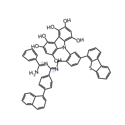 N/C(=N\C(=N/Cc1ccc(-c2cccc3c2sc2ccccc23)cc1-n1c2c(O)cc(O)c(O)c2c2c(O)c(O)cc(O)c21)c1ccc(-c2cccc3ccccc23)cc1)c1ccccc1